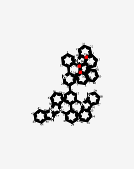 c1ccc(-n2c3ccccc3c3ccccc32)c(-c2ncc(-c3ccc(-c4ccccc4-n4c5ccccc5n5c6ccccc6nc45)c(-n4c5ccccc5c5cccnc54)c3)cc2-n2c3ccccc3n3c4ccccc4nc23)c1